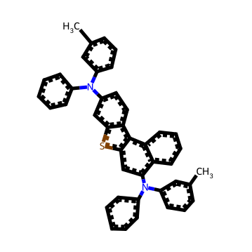 Cc1cccc(N(c2ccccc2)c2ccc3c(c2)sc2cc(N(c4ccccc4)c4cccc(C)c4)c4ccccc4c23)c1